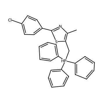 Cc1nc(-c2ccc(Cl)cc2)sc1C[PH](c1ccccc1)(c1ccccc1)c1ccccc1